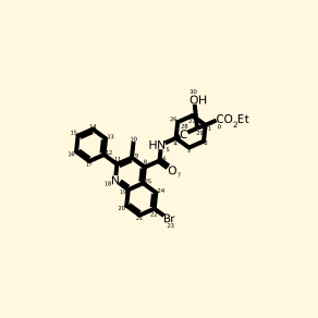 CCOC(=O)C12CCC(NC(=O)c3c(C)c(-c4ccccc4)nc4ccc(Br)cc34)(CC1)CC2O